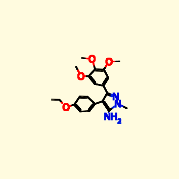 CCOc1ccc(-c2c(-c3cc(OC)c(OC)c(OC)c3)nn(C)c2N)cc1